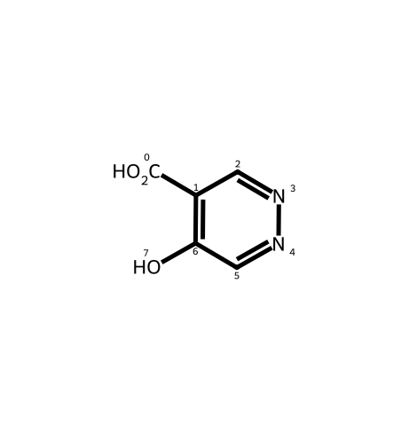 O=C(O)c1cnncc1O